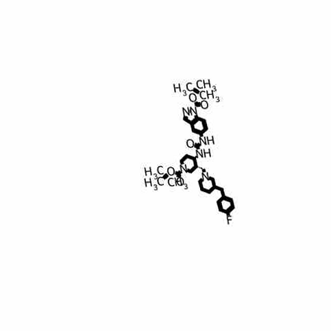 CC(C)(C)OC(=O)N1CC[C@@H](NC(=O)Nc2ccc3c(cnn3C(=O)OC(C)(C)C)c2)[C@H](CN2CCCC(Cc3ccc(F)cc3)C2)C1